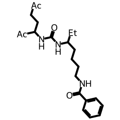 CCC(CCCCNC(=O)c1ccccc1)NC(=O)NC(CCC(C)=O)C(C)=O